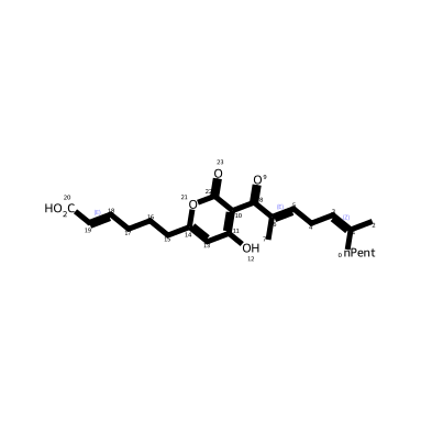 CCCCC/C(C)=C\C/C=C(\C)C(=O)c1c(O)cc(CCC/C=C/C(=O)O)oc1=O